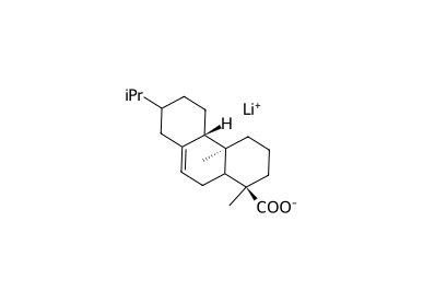 CC(C)C1CC[C@H]2C(=CCC3[C@](C)(C(=O)[O-])CCC[C@@]32C)C1.[Li+]